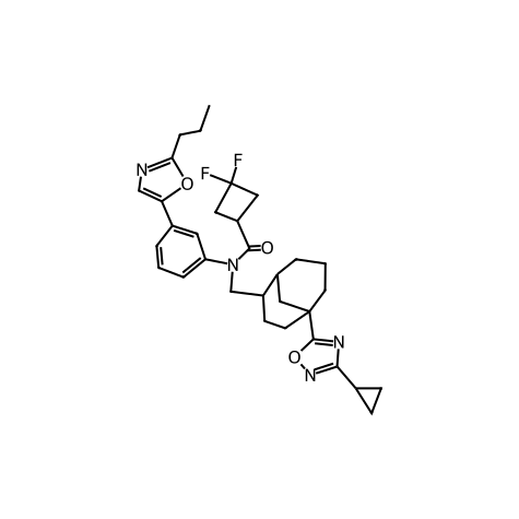 CCCc1ncc(-c2cccc(N(CC3CCC4(c5nc(C6CC6)no5)CCCC3C4)C(=O)C3CC(F)(F)C3)c2)o1